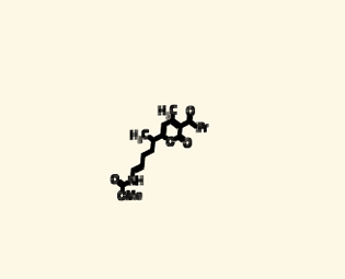 COC(=O)N/C=C/CCC(C)c1cc(C)c(C(=O)C(C)C)c(=O)o1